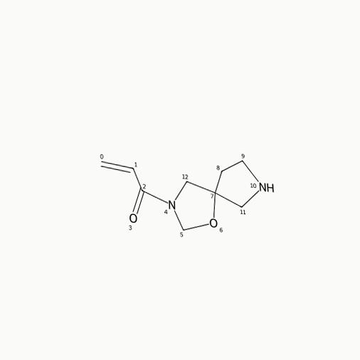 C=CC(=O)N1COC2(CCNC2)C1